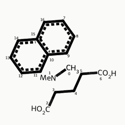 CNC.O=C(O)CCCC(=O)O.c1ccc2ccccc2c1